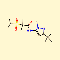 CC(C)S(=O)(=O)C(C)(C)C(=O)Nc1cc(C(C)(C)C)nn1C